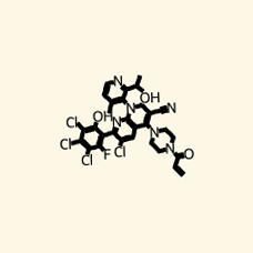 C=CC(=O)N1CCN(C2=C(C#N)C(O)N(c3c(C)ccnc3C(C)C)c3nc(-c4c(O)c(Cl)c(Cl)c(Cl)c4F)c(Cl)cc32)CC1